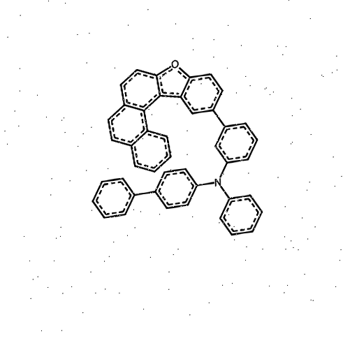 c1ccc(-c2ccc(N(c3ccccc3)c3cccc(-c4ccc5oc6ccc7ccc8ccccc8c7c6c5c4)c3)cc2)cc1